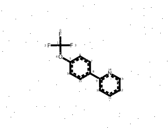 FC(F)(F)Oc1ccc(-c2cc[c]cn2)cc1